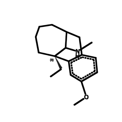 CC[C@@]12CCCCC(Cc3ccc(OC)cc31)C2NC